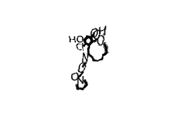 O=C1OCC/C=C/CC/C=C/C(=N\COCC(=O)N2CCCCC2)Cc2c(Cl)c(O)cc(O)c21